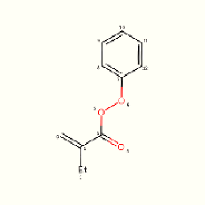 C=C(CC)C(=O)OOc1ccccc1